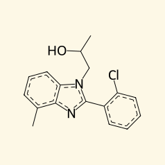 Cc1cccc2c1nc(-c1ccccc1Cl)n2CC(C)O